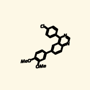 COc1ccc(-c2ccc3ncnc(-c4ccc(Cl)cc4)c3c2)cc1OC